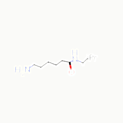 CC(C)[CH]NC(=O)CCCCCN